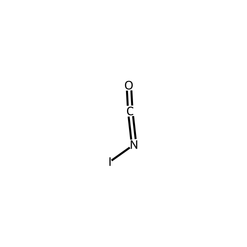 O=C=NI